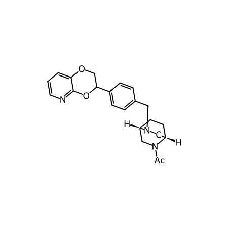 CC(=O)N1C[C@@H]2CC[C@H]1CN2Cc1ccc(C2COc3cccnc3O2)cc1